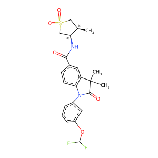 C[C@@H]1CS(=O)(=O)C[C@@H]1NC(=O)c1ccc2c(c1)C(C)(C)C(=O)N2c1cccc(OC(F)F)c1